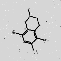 CN1CCc2c(N)c(N)cc(Br)c2C1